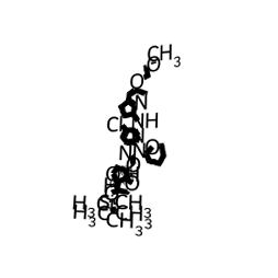 COCCOc1cnc2c(c1)CCC2Nc1nc2c(cc1Cl)nc(O[C@@H]1CO[C@@H]3C(O[Si](C)(C)C(C)(C)C)CO[C@@H]31)n2C1CCCCO1